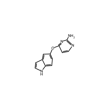 Nc1nccc(Oc2ccc3[nH]ccc3c2)n1